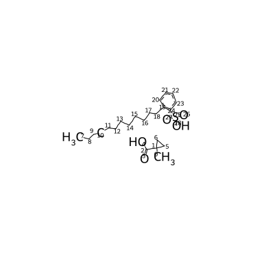 CC1(C(=O)O)CC1.CCCCCCCCCCCCc1ccccc1S(=O)(=O)O